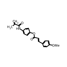 C=C(C)C(=O)Nc1ccc(OC(=O)C=Cc2ccc(OC)cc2)cc1